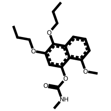 CCCOc1cc(OC(=O)NC)c2c(OC)cccc2c1OCCC